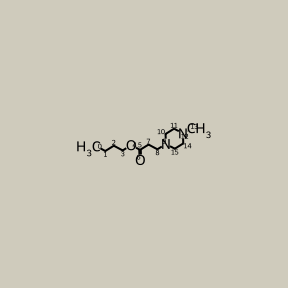 CCCCOC(=O)CCN1CCN(C)CC1